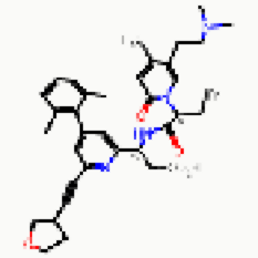 Cc1cccc(C)c1-c1cc(C#CC2CCOC2)nc([C@H](CC(=O)O)NC(=O)[C@H](CC(C)C)n2cc(CCN(C)C)c(C(F)(F)F)cc2=O)c1